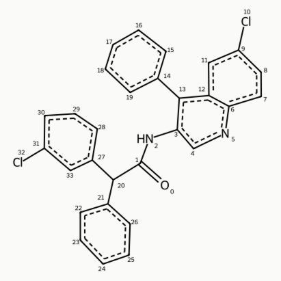 O=C(Nc1cnc2ccc(Cl)cc2c1-c1ccccc1)C(c1ccccc1)c1cccc(Cl)c1